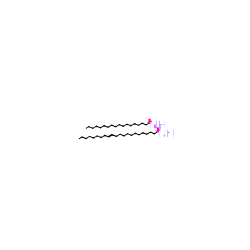 CCCCCCCCC=CCCCCCCCCCCCC(N)=O.CCCCCCCCCCCCCCCCCC(N)=O